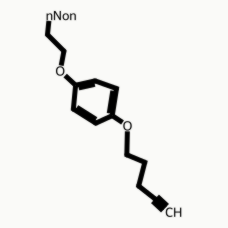 C#CCCCOc1ccc(OCCCCCCCCCCC)cc1